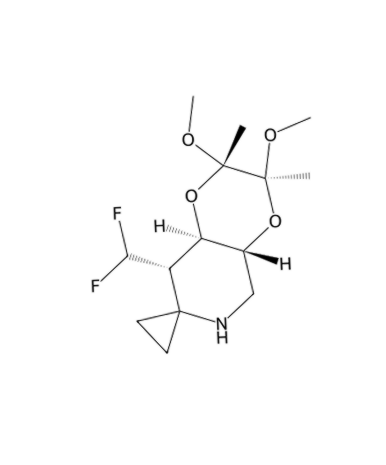 CO[C@@]1(C)O[C@@H]2[C@@H](C(F)F)C3(CC3)NC[C@H]2O[C@]1(C)OC